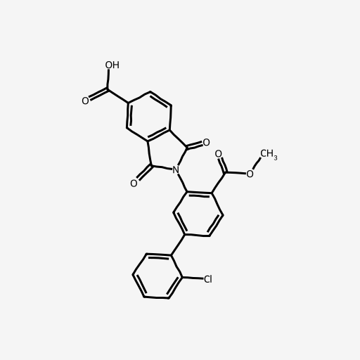 COC(=O)c1ccc(-c2ccccc2Cl)cc1N1C(=O)c2ccc(C(=O)O)cc2C1=O